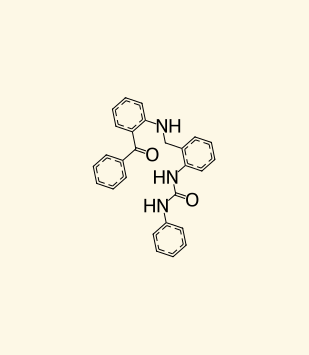 O=C(Nc1ccccc1)Nc1ccccc1CNc1ccccc1C(=O)c1ccccc1